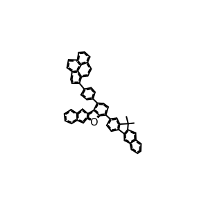 CC1(C)c2cc(-c3ccc(-c4ccc(-c5ccc6ccc7cccc8ccc5c6c78)cc4)c4c3oc3cc5ccccc5cc34)ccc2-c2cc3ccccc3cc21